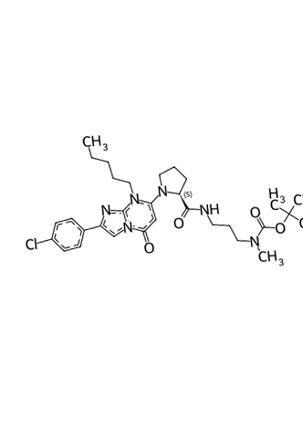 CCCCCn1c(N2CCC[C@H]2C(=O)NCCCN(C)C(=O)OC(C)(C)C)cc(=O)n2cc(-c3ccc(Cl)cc3)nc12